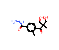 Cc1[c]c(C(=O)NN)ccc1C(=O)C(C)(CO)CO